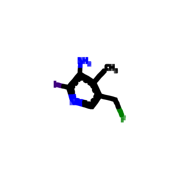 Cc1c(CF)cnc(I)c1N